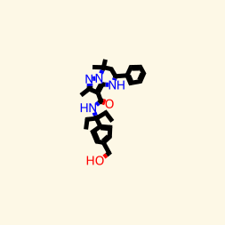 CCC(CC)(NC(=O)c1c(C)nn2c1NC(c1ccccc1)CC2(C)C)c1ccc(CO)cc1